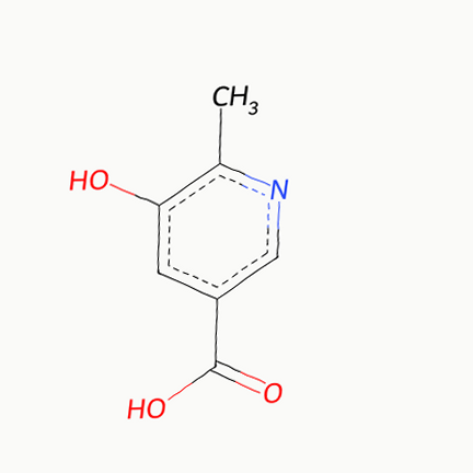 Cc1ncc(C(=O)O)cc1O